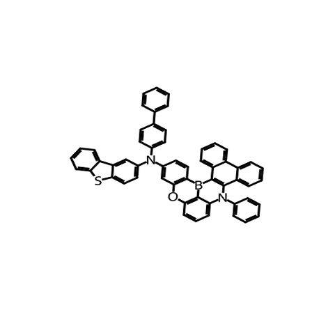 c1ccc(-c2ccc(N(c3ccc4c(c3)Oc3cccc5c3B4c3c(c4ccccc4c4ccccc34)N5c3ccccc3)c3ccc4sc5ccccc5c4c3)cc2)cc1